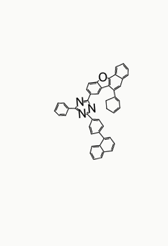 C1=CCCC(c2cc3ccccc3c3oc4ccc(-c5nc(-c6ccccc6)nc(-c6ccc(-c7cccc8ccccc78)cc6)n5)cc4c23)=C1